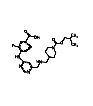 CC(C)COC(=O)N1CCC(CNCc2cc(Nc3ccc(C(=O)O)cc3F)ncn2)CC1